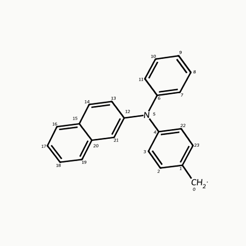 [CH2]c1ccc(N(c2ccccc2)c2ccc3ccccc3c2)cc1